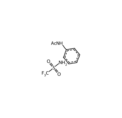 CC(=O)Nc1ccccc1.NS(=O)(=O)C(F)(F)F